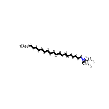 CCCCCCCCCCCCCCCCCCCCCCCCCCCC[CH]N(C)C